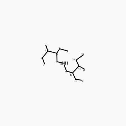 CCC(C)C(CC)CNCC(CC)C(C)CC